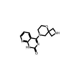 O=c1nc(N2CCOC3(CNC3)C2)c2cccnc2[nH]1